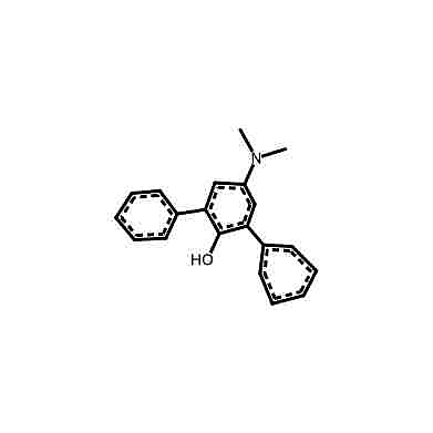 CN(C)c1cc(-c2ccccc2)c(O)c(-c2ccccc2)c1